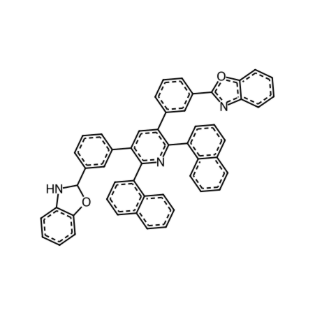 c1cc(-c2nc3ccccc3o2)cc(-c2cc(-c3cccc(C4Nc5ccccc5O4)c3)c(-c3cccc4ccccc34)nc2-c2cccc3ccccc23)c1